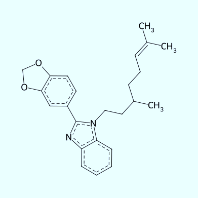 CC(C)=CCCC(C)CCn1c(-c2ccc3c(c2)OCO3)nc2ccccc21